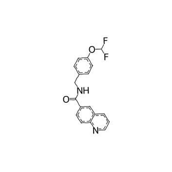 O=C(NCc1ccc(OC(F)F)cc1)c1ccc2ncccc2c1